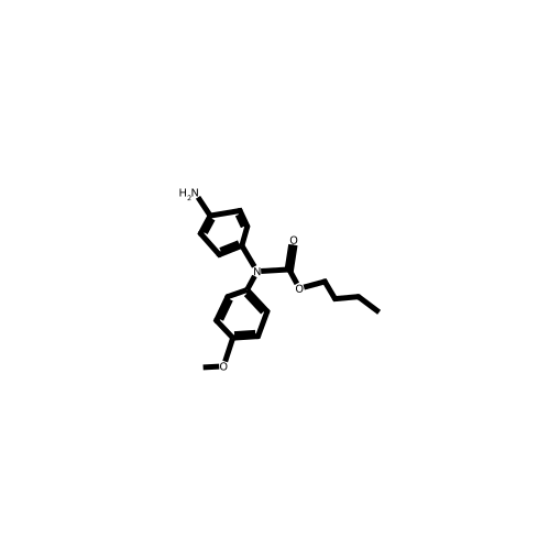 CCCCOC(=O)N(c1ccc(N)cc1)c1ccc(OC)cc1